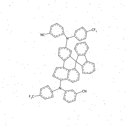 N#Cc1cccc(N(c2ccc(C(F)(F)F)cc2)c2ccc3c(c2)C2(c4ccccc4-c4ccccc42)c2cccc4c(N(c5ccc(C(F)(F)F)cc5)c5cccc(C#N)c5)ccc-3c24)c1